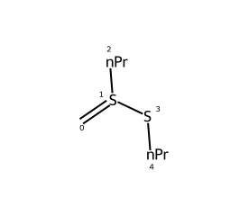 C=S(CCC)SCCC